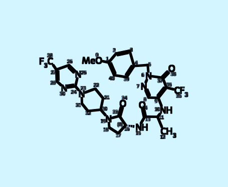 COc1ccc(Cn2ncc(NC(C)C(=O)N[C@@H]3CCN(C4CCN(c5ncc(C(F)(F)F)cn5)CC4)C3=O)c(C(F)(F)F)c2=O)cc1